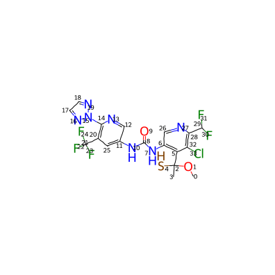 COC(C)(S)c1c(NC(=O)Nc2cnc(-n3nccn3)c(C(F)(F)F)c2)cnc(C(F)F)c1Cl